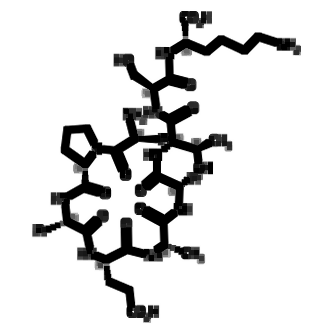 CC(C)[C@H](N)C(=O)N1CCC[C@H]1C(=O)N[C@H](C(=O)N[C@@H](CCC(=O)O)C(=O)N[C@@H](C)C(=O)N[C@H](C(=O)N[C@H](C(=O)N[C@@H](CO)C(=O)N[C@@H](CCCCN)C(=O)O)[C@@H](C)O)C(C)C)C(C)C